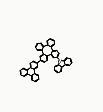 c1ccc2c(c1)-c1ccccc1-c1cc(-c3ccc4c5ccccc5c5ccccc5c4c3)ccc1-c1cc(-n3c4ccccc4c4ccccc43)ccc1-2